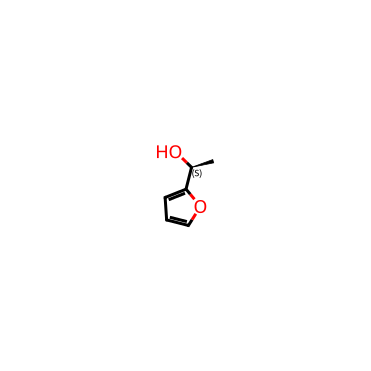 C[C@H](O)c1ccco1